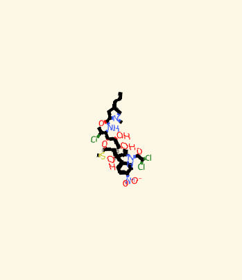 [CH2]C(NC(=O)C(Cl)Cl)[C@@](O)(c1ccc([N+](=O)[O-])cc1)[C@H]1C(O)C(O)C(C(NC(=O)C2CC(CCC)CN2C)C(C)Cl)O[C@@H]1SC